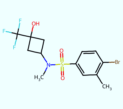 Cc1cc(S(=O)(=O)N(C)C2CC(O)(C(F)(F)F)C2)ccc1Br